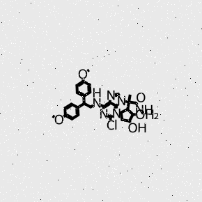 COc1ccc(C(CNc2nc(Cl)nc3c2ncn3C(C)(C(N)=O)C2CCC(O)C2O)c2ccc(OC)cc2)cc1